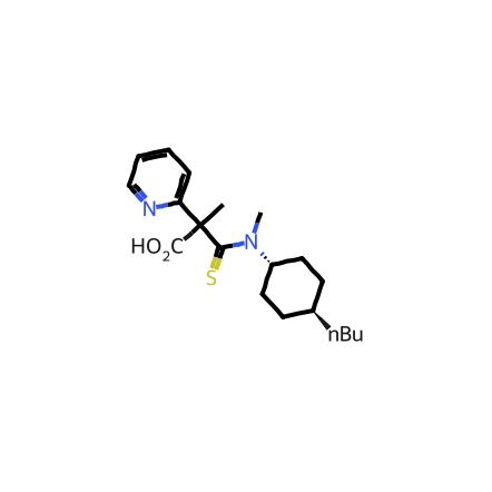 CCCC[C@H]1CC[C@H](N(C)C(=S)C(C)(C(=O)O)c2ccccn2)CC1